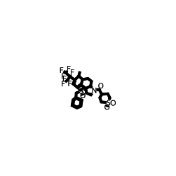 CC1C(C(F)(C(F)(F)F)C(F)(F)F)=CC=C2C1CCC1N(C(=O)C3CCS(=O)(=O)CC3)CCC21S(=O)(=O)Cc1ccccc1